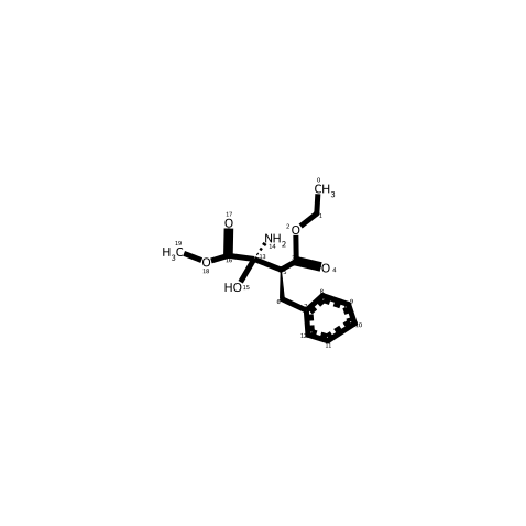 CCOC(=O)[C@@H](Cc1ccccc1)[C@@](N)(O)C(=O)OC